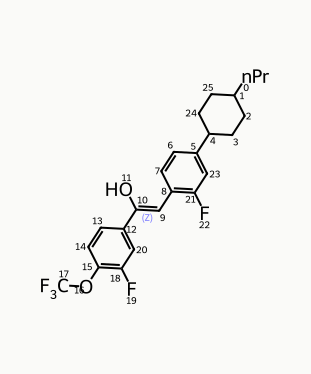 CCCC1CCC(c2ccc(/C=C(\O)c3ccc(OC(F)(F)F)c(F)c3)c(F)c2)CC1